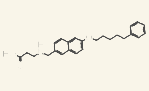 O=C(O)CCNCc1ccc2cc(OCCCCCc3ccccc3)ccc2c1